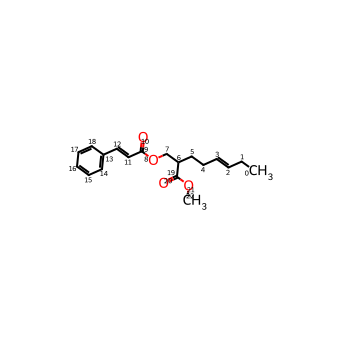 CCC=CCCC(COC(=O)/C=C/c1ccccc1)C(=O)OC